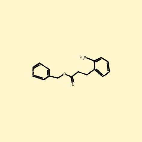 Nc1ccccc1CCC(=O)OCc1ccccc1